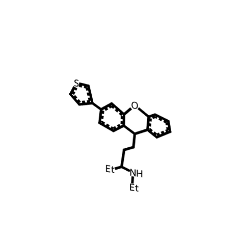 CCNC(CC)CCC1c2ccccc2Oc2cc(-c3ccsc3)ccc21